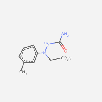 Cc1cccc(N(CC(=O)O)NC(N)=O)c1